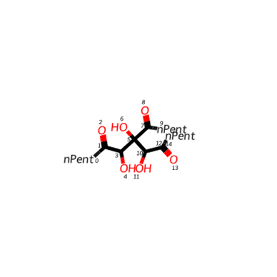 CCCCCC(=O)C(O)C(O)(C(=O)CCCCC)C(O)C(=O)CCCCC